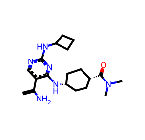 C=C(N)c1cnc(NC2CCC2)nc1N[C@H]1CC[C@@H](C(=O)N(C)C)CC1